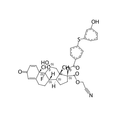 C[C@]12C=CC(=O)C=C1CC[C@H]1[C@@H]3CC[C@@](OC(=O)c4ccc(Sc5cccc(O)c5)cc4)(C(=O)OCC#N)[C@@]3(C)C[C@H](O)C12F